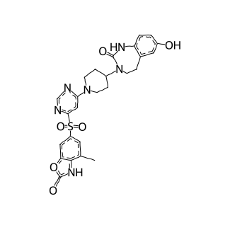 Cc1cc(S(=O)(=O)c2cc(N3CCC(N4CCc5cc(O)ccc5NC4=O)CC3)ncn2)cc2oc(=O)[nH]c12